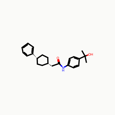 CC(C)(O)c1ccc(NC(=O)C[C@H]2CC[C@@H](c3ccccc3)CC2)cc1